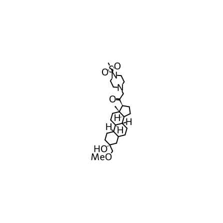 COC[C@@]1(O)CC[C@H]2C(CC[C@@H]3[C@@H]2CC[C@]2(C)[C@@H](C(=O)CN4CCN(S(C)(=O)=O)CC4)CC[C@@H]32)C1